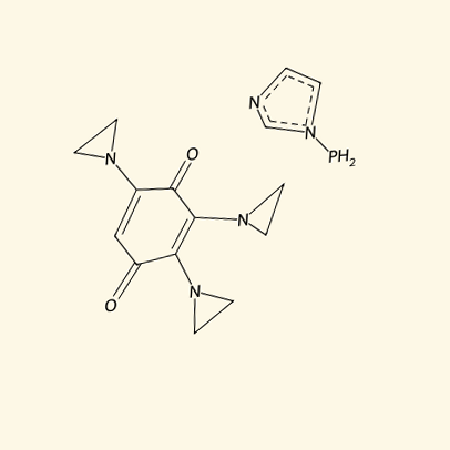 O=C1C=C(N2CC2)C(=O)C(N2CC2)=C1N1CC1.Pn1ccnc1